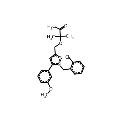 COc1cccc(-c2cc(COC(C)(C)C(C)=O)nn2Cc2ccccc2Cl)c1